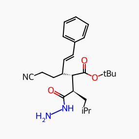 CC(C)C[C@@H](C(=O)NN)[C@@H](C(=O)OC(C)(C)C)C(/C=C/c1ccccc1)CCC#N